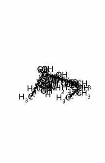 C/C=C/C=C/C=C/C=C/[C@@H](C[C@@H]1O[C@](O)(C[C@@H](O)C[C@@H](O)[C@H](O)CC[C@@H](O)C[C@@H](O)CC(=O)O[C@@H](C)[C@H](C)[C@H](O)[C@@H](C)/C=C/C=C/C)C[C@H](O)[C@H]1CO)O[C@@H]1O[C@H](C)[C@@H](O)[C@H](NC(=N)N)[C@@H]1O